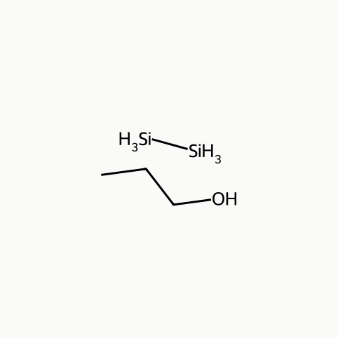 CCCO.[SiH3][SiH3]